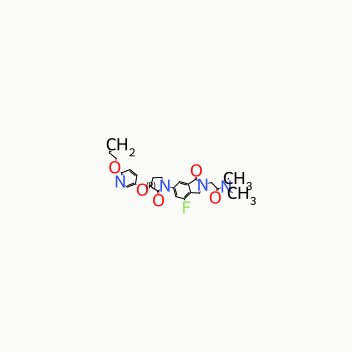 C=CCOc1ccc(O[C@@H]2CCN(c3cc(F)c4c(c3)C(=O)N(CC(=O)N(C)C)C4)C2=O)cn1